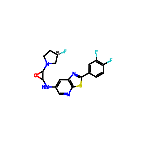 Fc1ccc(-c2nc3cc(NC4OC4N4CC[C@H](F)C4)cnc3s2)cc1F